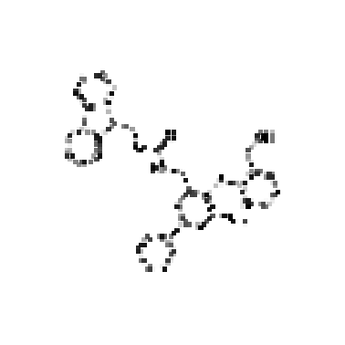 O=C(NCc1cc(-c2ccccc2)cc(C(F)(F)F)c1Sc1ncccc1CO)OCC1c2ccccc2-c2ccccc21